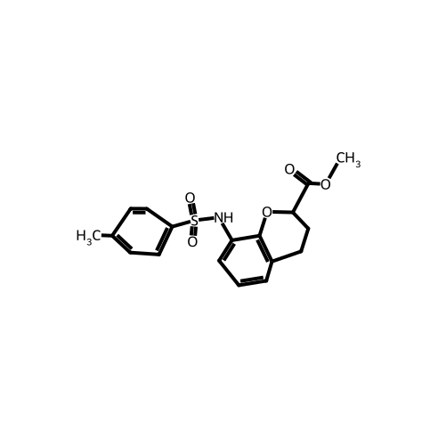 COC(=O)C1CCc2cccc(NS(=O)(=O)c3ccc(C)cc3)c2O1